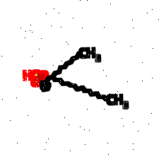 CCCCCCCCCCCCCCCCC(CCCCCCCCCC)Cc1ccccc1S(=O)(=O)O